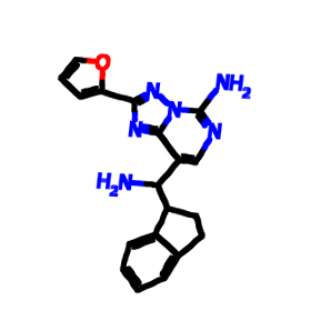 Nc1ncc(C(N)C2CCc3ccccc32)c2nc(-c3ccco3)nn12